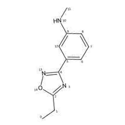 CCc1nc(-c2cccc(NC)c2)no1